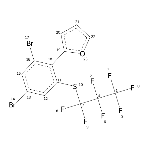 FC(F)(F)C(F)(F)C(F)(F)Sc1cc(Br)[c]c(Br)c1-c1ccco1